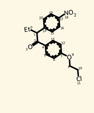 CCC(C(=O)c1ccc(OCCCl)cc1)c1ccc([N+](=O)[O-])cc1